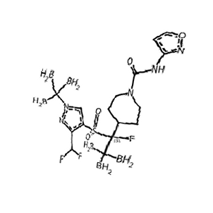 BC(B)(B)n1cc(S(=O)(=O)[C@](F)(C2CCN(C(=O)Nc3ccon3)CC2)C(B)(B)B)c(C(F)F)n1